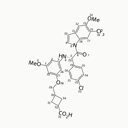 COc1cc(N[C@H](C(=O)n2ccc3cc(OC)c(C(F)(F)F)cc32)c2ccc(Cl)cc2)cc(OCC2CC(C(=O)O)C2)c1